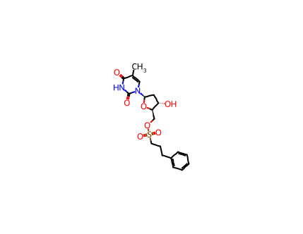 Cc1cn([C@H]2C[C@H](O)[C@@H](COS(=O)(=O)CCCc3ccccc3)O2)c(=O)[nH]c1=O